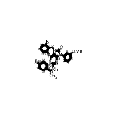 COc1cccc(-n2c(=O)n(Cc3c(F)cccc3F)c3cnc(N[C@@H](C)c4ccc(F)cc4)nc32)c1